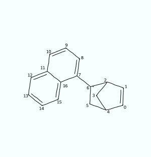 C1=CC2CC1C[C]2c1cccc2ccccc12